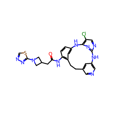 O=C(CC1CN(c2nncs2)C1)Nc1ccc2cc1CCc1cncc(c1)Nc1ncc(Cl)c(n1)N2